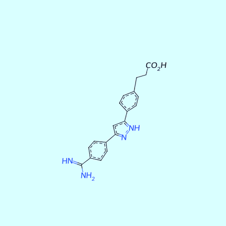 N=C(N)c1ccc(-c2cc(-c3ccc(CCC(=O)O)cc3)[nH]n2)cc1